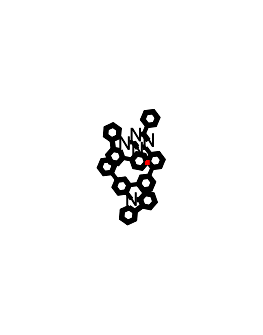 c1ccc(-c2ccc(-n3c4ccccc4c4ccccc43)c(-c3cccc(-c4cccc(-c5nc(-c6ccccc6)nc(-n6c7ccccc7c7cccc(-c8ccccc8)c76)n5)c4)c3)c2)cc1